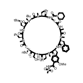 CCCCN1CC(=O)N(C)[C@@H](CC(C)C)C(=O)N[C@@H](COC(C)(C)C)C(=O)N(C)[C@@H]([C@@H](C)CC)C(=O)N(C)[C@@H](CC(C)C)C(=O)N[C@H](C(=O)N2CCCCC2)CC(=O)NC(C)C(=O)N(C)[C@@H](Cc2ccccc2)C(=O)N[C@@H](Cc2ccc(C(=O)NS(C)(=O)=O)c(OC)c2)C(=O)N(C)[C@@H](CC(C)C)C(=O)N[C@@H]([C@@H](C)O)C1=O